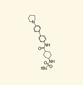 CC(C)(C)S(=O)(=O)NC1CCC(C(=O)Nc2ccc(-c3ccc(N4CCCCC4)cc3)cc2)CC1